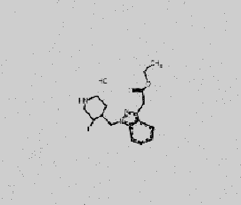 CCOC(=O)Cc1nn(C[C@@H]2CCNC[C@@H]2F)c2ccccc12.Cl